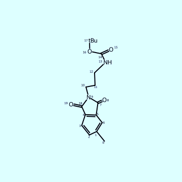 Cc1ccc2c(c1)C(=O)N(CCCNC(=O)OC(C)(C)C)C2=O